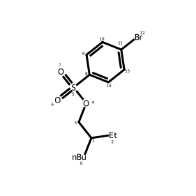 CCCCC(CC)COS(=O)(=O)c1ccc(Br)cc1